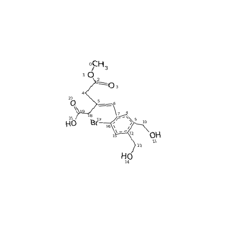 COC(=O)C/C(=C/c1cc(CO)c(CO)cc1Br)CC(=O)O